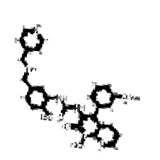 CCCCn1c(=O)c(NC(=O)Nc2cc(COCc3ccncc3)ccc2C(C)(C)C)c(-c2cccc(OC)c2)c2cccnc21